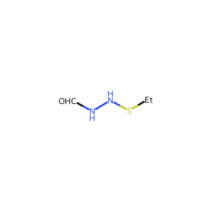 CCSNNC=O